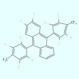 Fc1cc2c(-c3c(F)c(F)c(C(F)(F)F)c(F)c3F)c3ccccc3c(-c3c(F)c(F)c(C(F)(F)F)c(F)c3F)c2cc1F